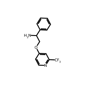 NC(COc1ccnc(C(F)(F)F)c1)c1ccccc1